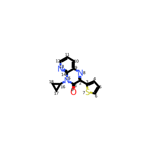 O=c1c(-c2cccs2)nc2cccnc2n1C1CC1